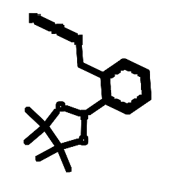 CC1(C)OB(c2ccccc2CN=[N+]=[N-])OC1(C)C